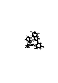 Cc1cc(C)cc(C2=Cc3ccccc3[CH]2[Zr+2]([CH]2C=CC=C2)[SiH](C)C)c1.[Cl-].[Cl-]